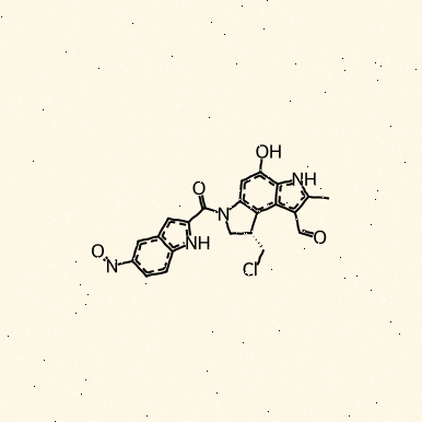 Cc1[nH]c2c(O)cc3c(c2c1C=O)[C@H](CCl)CN3C(=O)c1cc2cc(N=O)ccc2[nH]1